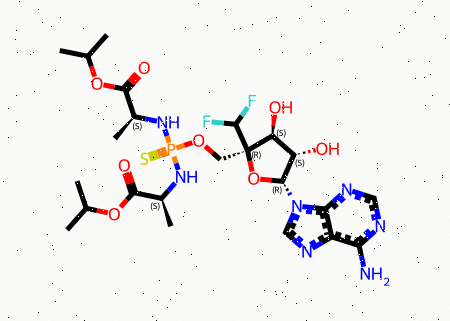 CC(C)OC(=O)[C@H](C)NP(=S)(N[C@@H](C)C(=O)OC(C)C)OC[C@@]1(C(F)F)O[C@@H](n2cnc3c(N)ncnc32)[C@@H](O)[C@@H]1O